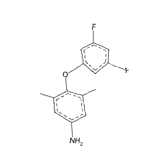 Cc1cc(N)cc(C)c1Oc1cc(F)cc(F)c1